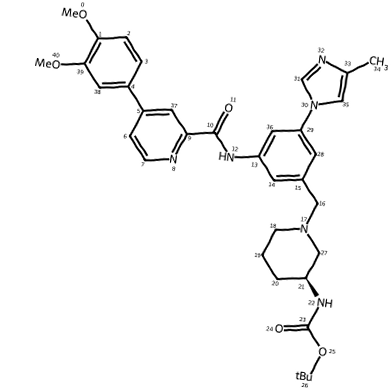 COc1ccc(-c2ccnc(C(=O)Nc3cc(CN4CCC[C@H](NC(=O)OC(C)(C)C)C4)cc(-n4cnc(C)c4)c3)c2)cc1OC